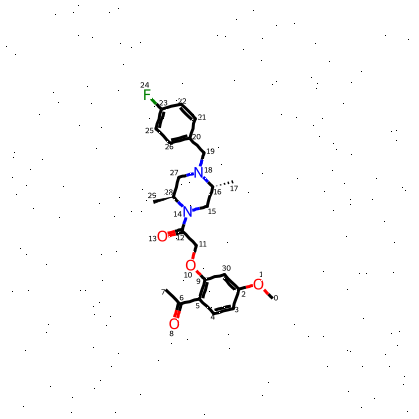 COc1ccc(C(C)=O)c(OCC(=O)N2C[C@@H](C)N(Cc3ccc(F)cc3)C[C@@H]2C)c1